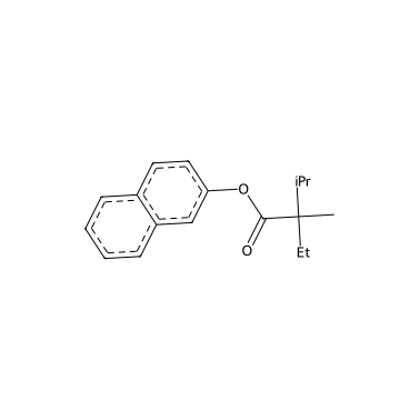 CCC(C)(C(=O)Oc1ccc2ccccc2c1)C(C)C